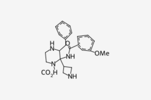 COc1cccc(C(=O)NC2(C3CNC3)C(Cc3ccccc3)NCCN2C(=O)O)c1